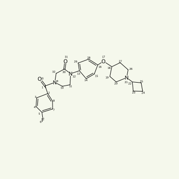 O=C(c1ccc(F)cc1)N1CCN(c2ccc(OC3CCN(C4CCC4)CC3)cc2)C(=O)C1